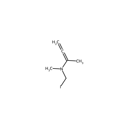 C=C=C(C)N(C)CI